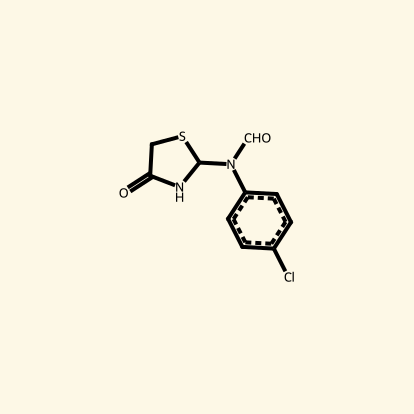 O=CN(c1ccc(Cl)cc1)C1NC(=O)CS1